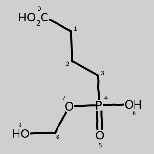 O=C(O)CCCP(=O)(O)OCO